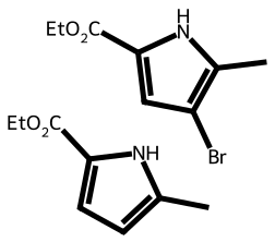 CCOC(=O)c1cc(Br)c(C)[nH]1.CCOC(=O)c1ccc(C)[nH]1